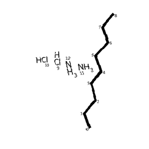 CCCCCCCCC.Cl.Cl.N.N